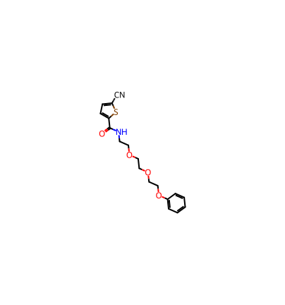 N#Cc1ccc(C(=O)NCCOCCOCCOc2ccccc2)s1